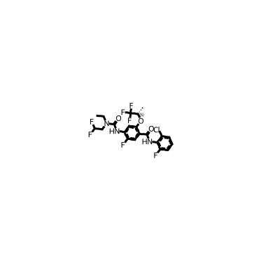 CCN(CC(F)F)C(=O)Nc1cc(O[C@@H](C)C(F)(F)F)c(C(=O)Nc2c(F)cccc2Cl)cc1F